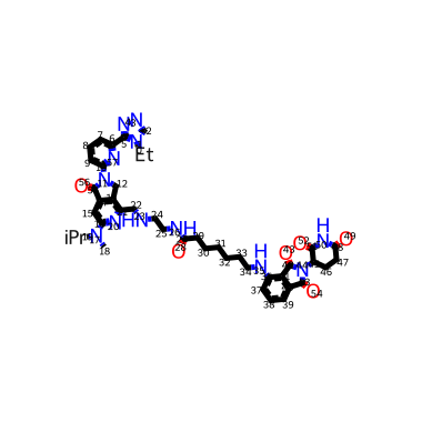 CCn1cnnc1-c1cccc(N2Cc3c(cc(N(C)C(C)C)nc3CNCCNC(=O)CCCCCCNc3cccc4c3C(=O)N(C3CCC(=O)NC3=O)C4=O)C2=O)n1